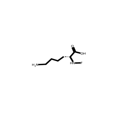 NCCCC[C@@H](NF)C(=O)O